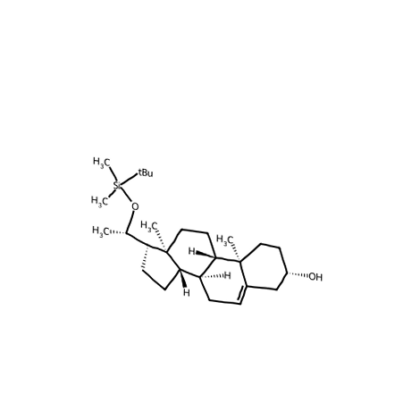 C[C@H](O[Si](C)(C)C(C)(C)C)[C@H]1CC[C@H]2[C@@H]3CC=C4C[C@@H](O)CC[C@]4(C)[C@H]3CC[C@]12C